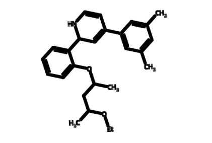 CCOC(C)CC(C)Oc1ccccc1C1C=C(c2cc(C)cc(C)c2)C=CN1